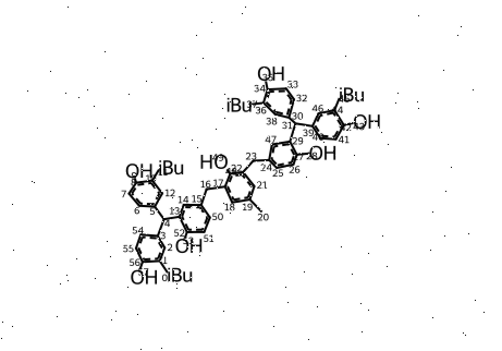 CCC(C)c1cc(C(c2ccc(O)c(C(C)CC)c2)c2cc(Cc3cc(C)cc(Cc4ccc(O)c(C(c5ccc(O)c(C(C)CC)c5)c5ccc(O)c(C(C)CC)c5)c4)c3O)ccc2O)ccc1O